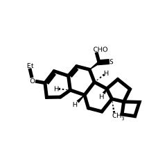 CCOC1=CC2=C[C@@H](C(=S)C=O)[C@@H]3[C@H](CC[C@@]4(C)[C@H]3CCC43CCC3)[C@H]2CC1